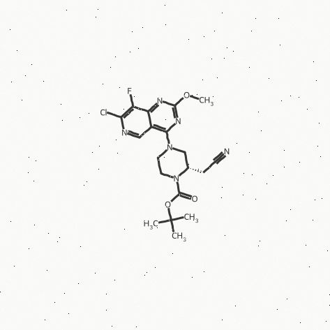 COc1nc(N2CCN(C(=O)OC(C)(C)C)[C@@H](CC#N)C2)c2cnc(Cl)c(F)c2n1